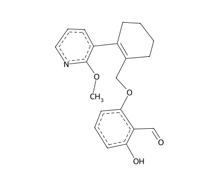 COc1ncccc1C1=C(COc2cccc(O)c2C=O)CCCC1